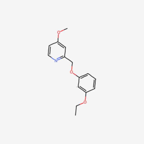 CCOc1[c]c(OCc2cc(OC)ccn2)ccc1